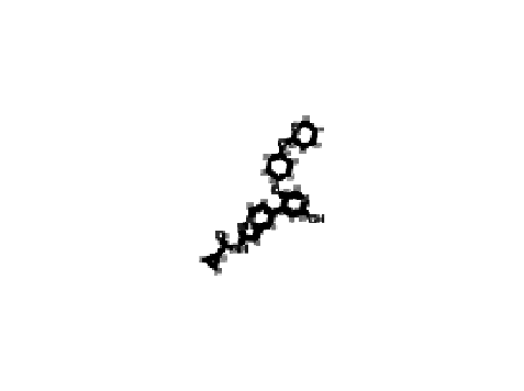 O=C(Nc1cc2cc(-c3cc(O)ncc3O[C@H]3CC[C@H](OC4CCCCO4)CC3)ccn2n1)C1CC1